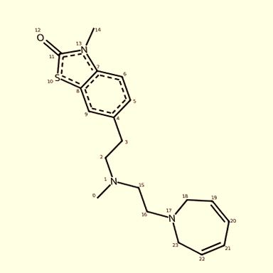 CN(CCc1ccc2c(c1)sc(=O)n2C)CCN1CC=CC=CC1